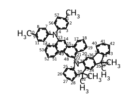 Cc1ccc(N(c2ccc(C)cc2)c2cc3c4ccccc4c(N4c5ccccc5C(C)(C)c5cc6c(cc54)-c4ccccc4C6(C)C)cc3c3ccccc23)cc1